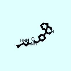 O=C(Cc1ccc(-c2cncc3ccccc23)cc1)Nc1cc(C2CC2)[nH]n1